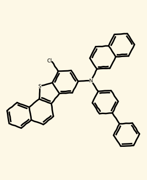 Clc1cc(N(c2ccc(-c3ccccc3)cc2)c2ccc3ccccc3c2)cc2c1sc1c3ccccc3ccc21